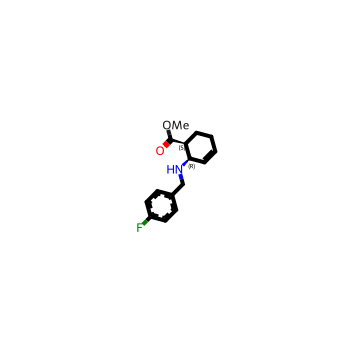 COC(=O)[C@H]1CCC=C[C@H]1NCc1ccc(F)cc1